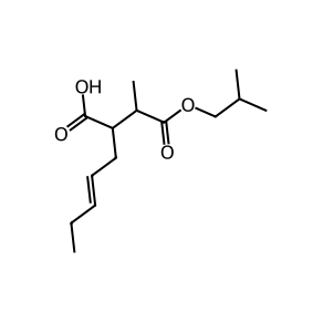 CCC=CCC(C(=O)O)C(C)C(=O)OCC(C)C